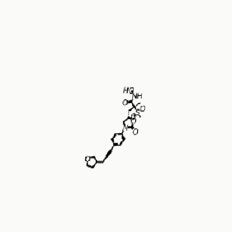 C[C@@](C[C@H]1CN(c2ccc(C#CCC3CCOC3)cc2)C(=O)O1)(C(=O)NO)S(C)(=O)=O